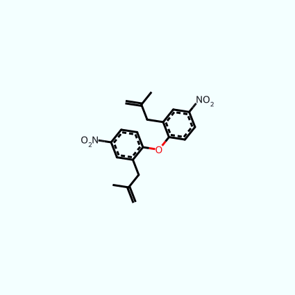 C=C(C)Cc1cc([N+](=O)[O-])ccc1Oc1ccc([N+](=O)[O-])cc1CC(=C)C